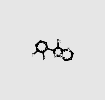 CCc1c(-c2cccc(F)c2F)nn2cccnc12